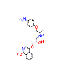 CC(COc1ccc(N)cc1)NCC(O)COc1cnc(O)c2ccccc12